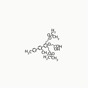 C=C(C)C(=O)OCCCc1cc(-c2ccc(-c3ccc(C)cc3)cc2CC)cc(CCCOC(=O)C(C)C)c1OCCC(CO)CO